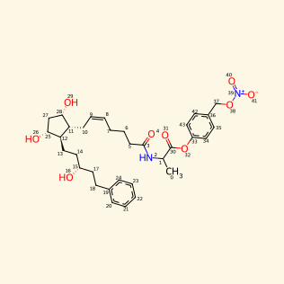 CC(NC(=O)CCC/C=C\C[C@@H]1[C@@H](CC[C@@H](O)CCc2ccccc2)[C@H](O)C[C@@H]1O)C(=O)Oc1ccc(CO[N+](=O)[O-])cc1